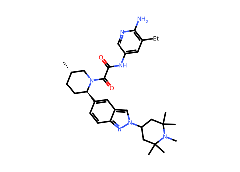 CCc1cc(NC(=O)C(=O)N2C[C@@H](C)CC[C@@H]2c2ccc3nn(C4CC(C)(C)N(C)C(C)(C)C4)cc3c2)cnc1N